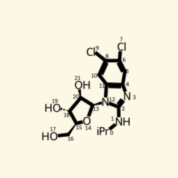 CC(C)Nc1nc2cc(Cl)c(Cl)cc2n1[C@H]1O[C@@H](CO)[C@H](O)[C@H]1O